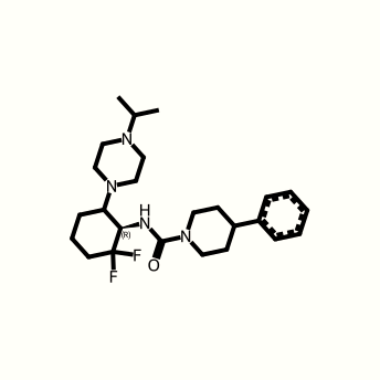 CC(C)N1CCN(C2CCCC(F)(F)[C@@H]2NC(=O)N2CCC(c3ccccc3)CC2)CC1